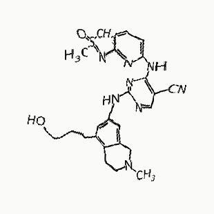 CN1CCc2c(CCCO)cc(Nc3ncc(C#N)c(Nc4cccc(N=S(C)(C)=O)n4)n3)cc2C1